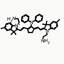 Cc1ccc2c(c1)C(C)(C)C(/C=C/C1=C(N(c3ccccc3)c3ccccc3)C(=C/C=C3/N(CCN)c4ccc(C)cc4C3(C)C)/CC1)=[N+]2CCN